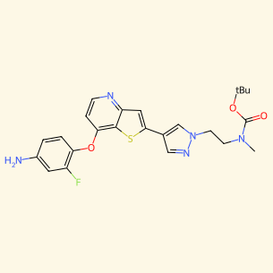 CN(CCn1cc(-c2cc3nccc(Oc4ccc(N)cc4F)c3s2)cn1)C(=O)OC(C)(C)C